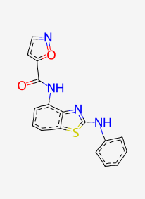 O=C(Nc1cccc2sc(Nc3ccccc3)nc12)c1ccno1